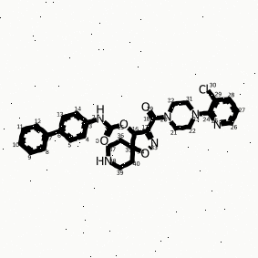 O=C(Nc1ccc(-c2ccccc2)cc1)OC1C(C(=O)N2CCN(c3ncccc3Cl)CC2)=NOC12CCNCC2